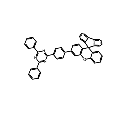 c1ccc(-c2nc(-c3ccccc3)nc(-c3ccc(-c4ccc5c(c4)Oc4ccccc4C54c5ccccc5-c5ccccc54)cc3)n2)cc1